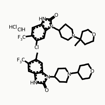 CC1(N2CCC(n3c(=O)[nH]c4cc(C(F)(F)F)c(Cl)cc43)CC2)CCOCC1.Cc1cc2c(cc1C(F)(F)F)[nH]c(=O)n2C1CCN(C2CCOCC2)CC1.Cl.Cl